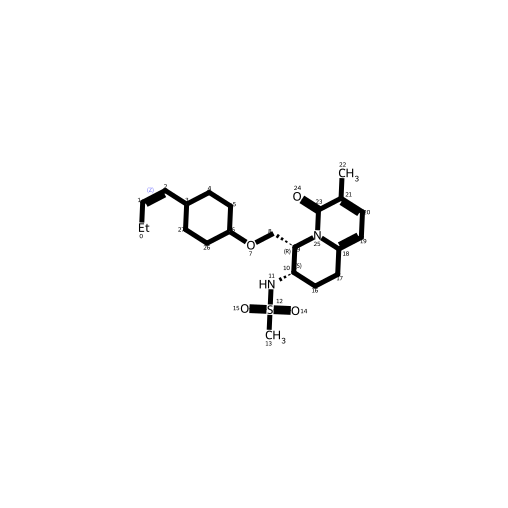 CC/C=C\C1CCC(OC[C@H]2[C@@H](NS(C)(=O)=O)CCc3ccc(C)c(=O)n32)CC1